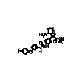 CC(C)(C)NC(=O)c1cn2ncnc(N)c2c1-c1ccc(NC(=O)Nc2cccc(Oc3ccc(F)cc3)c2)cc1